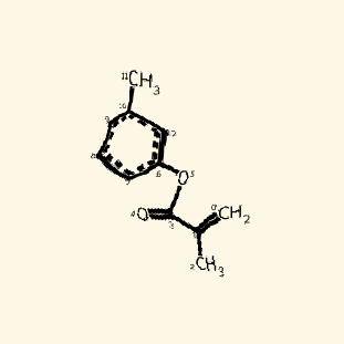 C=C(C)C(=O)Oc1cccc(C)c1